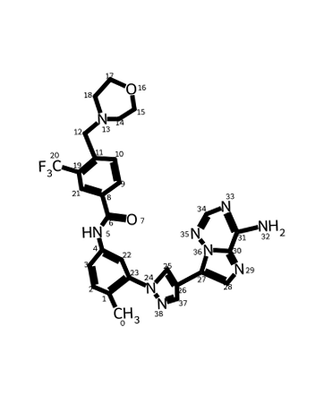 Cc1ccc(NC(=O)c2ccc(CN3CCOCC3)c(C(F)(F)F)c2)cc1-n1cc(-c2cnc3c(N)ncnn23)cn1